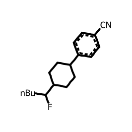 CCCCC(F)C1CCC(c2ccc(C#N)cc2)CC1